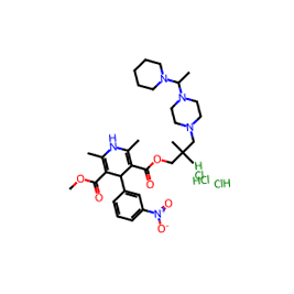 COC(=O)C1=C(C)NC(C)=C(C(=O)OCC(C)(C)CN2CCN(C(C)N3CCCCC3)CC2)C1c1cccc([N+](=O)[O-])c1.Cl.Cl.Cl